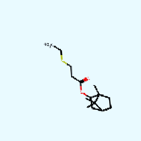 CC1(C)C2CCC1(C)C(OC(=O)CCSCC(=O)O)C2